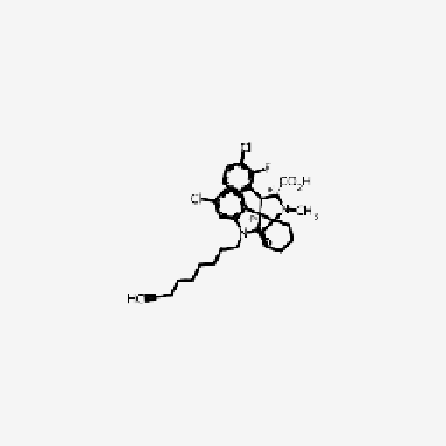 C#CCCCCCCCN1C(=O)[C@@]2(c3ccc(Cl)cc31)C(c1cccc(Cl)c1F)[C@H](C(=O)O)N(C)C21CCCCC1